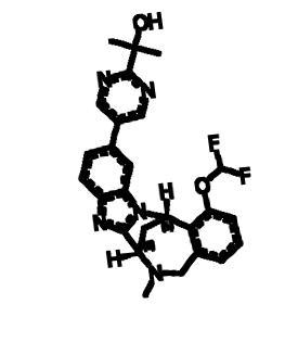 CN1Cc2cccc(OC(F)F)c2[C@@H]2C[C@H]1c1nc3ccc(-c4cnc(C(C)(C)O)nc4)cc3n12